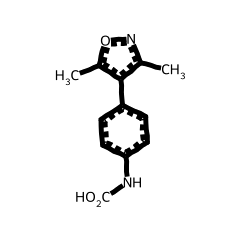 Cc1noc(C)c1-c1ccc(NC(=O)O)cc1